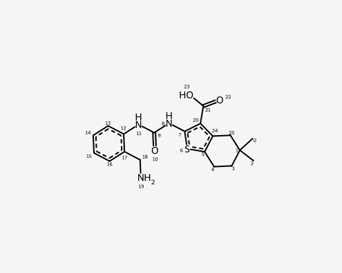 CC1(C)CCc2sc(NC(=O)Nc3ccccc3CN)c(C(=O)O)c2C1